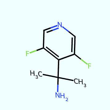 CC(C)(N)c1c(F)cncc1F